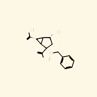 C[C@@H](N[C@@]1(C(=O)O)C[C@H](O)C2C1[C@H]2C(=O)O)c1ccccc1